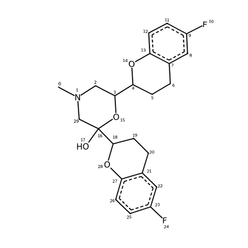 CN1CC(C2CCc3cc(F)ccc3O2)OC(O)(C2CCc3cc(F)ccc3O2)C1